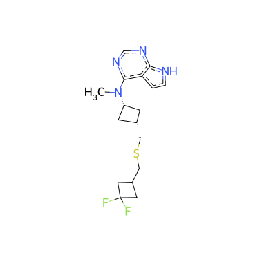 CN(c1ncnc2[nH]ccc12)[C@H]1C[C@@H](CSCC2CC(F)(F)C2)C1